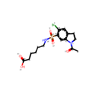 CC(=O)N1CCc2cc(Br)c(S(=O)(=O)NCCCCCC(=O)O)cc21